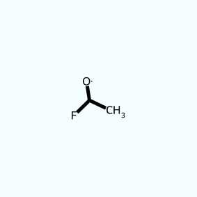 CC([O])F